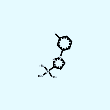 CCC[CH2][Sn]([CH2]CCC)([CH2]CCC)[c]1ccn(-c2cccc(F)c2)n1